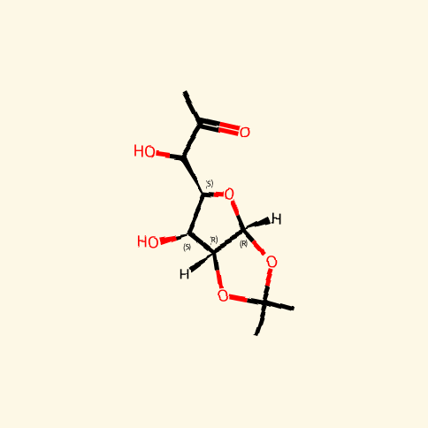 CC(=O)C(O)[C@H]1O[C@@H]2OC(C)(C)O[C@@H]2[C@H]1O